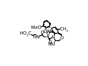 COc1cccc([C@@H]2C=C(C)C3=COC[C@@H](C(C)(C)C)N4C(=O)[C@@H](CC(=O)NCCC(=O)O)OC2=C34)c1OC